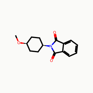 CO[C@H]1CC[C@@H](N2C(=O)c3ccccc3C2=O)CC1